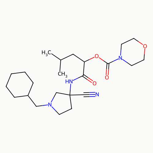 CC(C)CC(OC(=O)N1CCOCC1)C(=O)NC1(C#N)CCN(CC2CCCCC2)C1